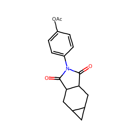 CC(=O)Oc1ccc(N2C(=O)C3CC4CC4CC3C2=O)cc1